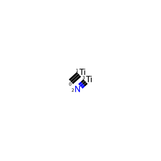 [CH]#[Ti].[N]#[Ti]